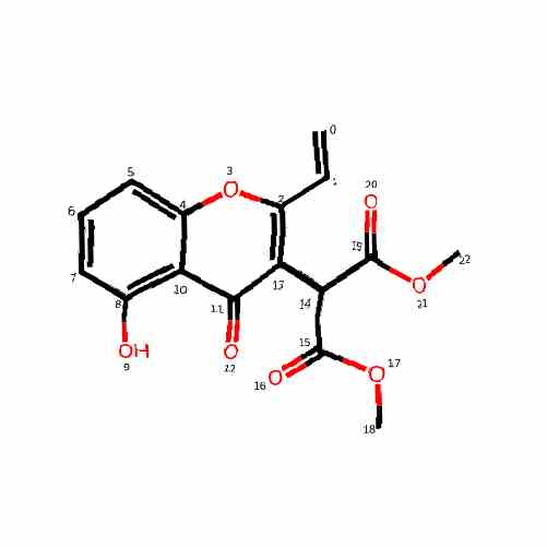 C=Cc1oc2cccc(O)c2c(=O)c1C(C(=O)OC)C(=O)OC